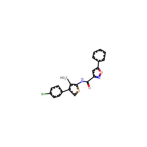 O=C(Nc1scc(-c2ccc(Br)cc2)c1C(=O)O)c1cc(-c2ccccc2)on1